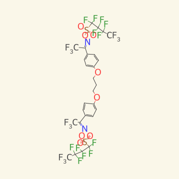 O=S(=O)(O/N=C(/c1ccc(OCCCOc2ccc(/C(=N/OS(=O)(=O)C(F)(F)C(F)(F)C(F)(F)C(F)(F)F)C(F)(F)F)cc2)cc1)C(F)(F)F)C(F)(F)C(F)(F)C(F)(F)C(F)(F)F